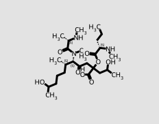 CCC[C@H](NC)C(=O)OC(CC(=O)[C@H]([C@@H](C)CCCC(C)O)N(C)C(=O)[C@H](C)NC)(CC(C)O)C(=O)O